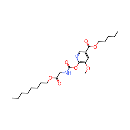 CCCCCCCCOC(=O)CNC(=O)Oc1ncc(C(=O)OCCCCC)cc1OC